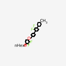 CCCCCCOc1ccc(OCc2ccc(-c3ccc(C4CCC(C)CC4)c(F)c3F)cc2)c(F)c1F